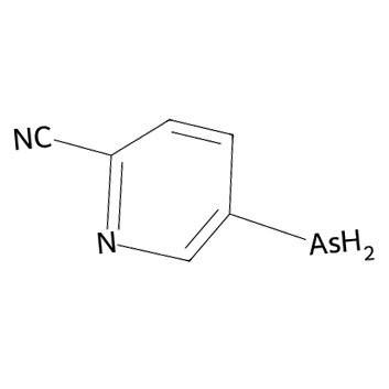 N#Cc1ccc([AsH2])cn1